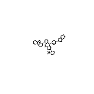 C[Si]1(C)c2ccccc2-c2cc(C(c3ccc(-c4ccc5ccccc5c4)cc3)c3cccc4c3[Si](C)(C)c3ccc5c(oc6ccccc65)c3-4)ccc21